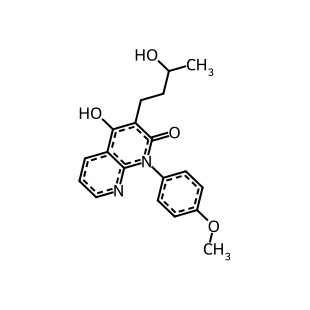 COc1ccc(-n2c(=O)c(CCC(C)O)c(O)c3cccnc32)cc1